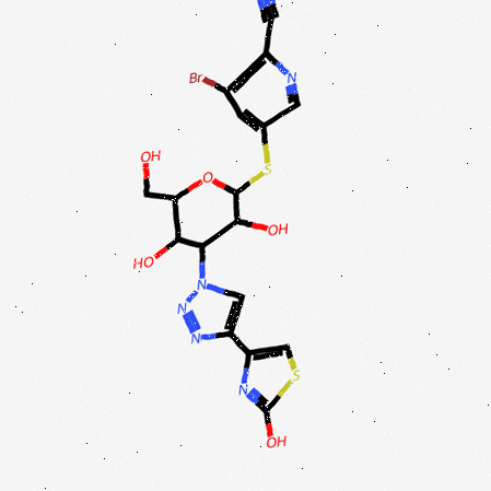 N#Cc1ncc(SC2OC(CO)C(O)C(n3cc(-c4csc(O)n4)nn3)C2O)cc1Br